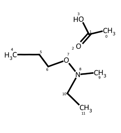 CC(=O)O.CCCON(C)CC